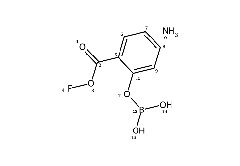 N.O=C(OF)c1ccccc1OB(O)O